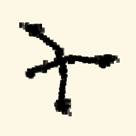 CC(=O)N[C@H]1[C@H]2OC[C@](COCCOCCOCCOCCn3cc(COCC(COCc4cn(CCOCCOCCOCCOC[C@@]56CO[C@@H](O5)[C@H](NC(C)=O)[C@@H](O)[C@H]6O)nn4)(COCc4cn(CCOCCOCCOCCOC[C@@]56CO[C@@H](O5)[C@H](NC(C)=O)[C@@H](O)[C@H]6O)nn4)NC(=O)CCCCCNC(=O)OCCSSc4ccccn4)nn3)(O2)[C@H](O)[C@@H]1O